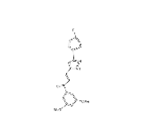 COc1cc(OC)cc(C(=O)C=Cc2cc(-c3ccc(F)cc3)n[nH]2)c1